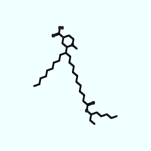 CCCCCCCCCC(CCCCCCCCCCC(=O)OC(CC)CCCCC)C1CC(C(=O)O)CCN1C